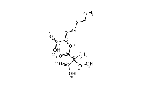 CCCSCC(OC(=O)C(C)(OO)C(=O)O)C(=O)O